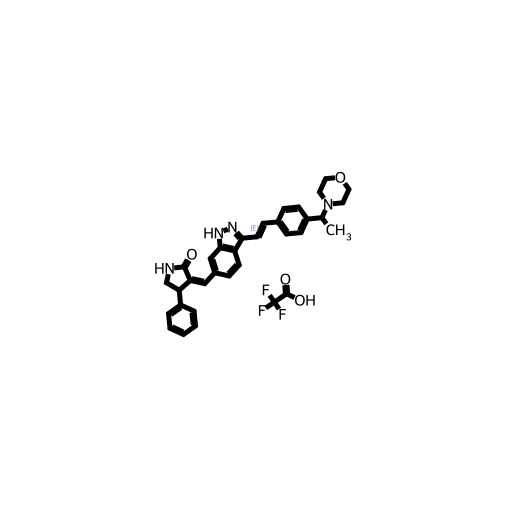 CC(c1ccc(/C=C/c2n[nH]c3cc(C=C4C(=O)NCC4c4ccccc4)ccc23)cc1)N1CCOCC1.O=C(O)C(F)(F)F